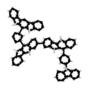 c1cc(-c2c3oc4ccccc4c3cc3c2oc2ccccc23)cc(-c2c3ccc(-c4ccc5c(c4)sc4c(-c6ccc(-n7c8ccccc8c8ccccc87)cc6)c6ccccc6nc45)cc3nc3c2sc2ccccc23)c1